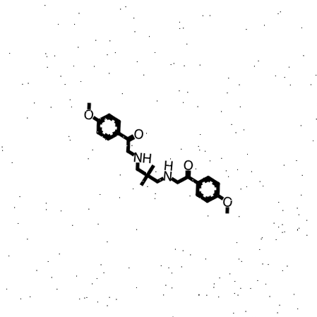 COc1ccc(C(=O)CNCC(C)(C)CNCC(=O)c2ccc(OC)cc2)cc1